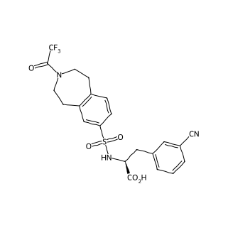 N#Cc1cccc(C[C@H](NS(=O)(=O)c2ccc3c(c2)CCN(C(=O)C(F)(F)F)CC3)C(=O)O)c1